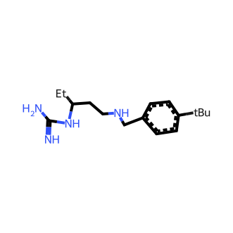 CCC(CCNCc1ccc(C(C)(C)C)cc1)NC(=N)N